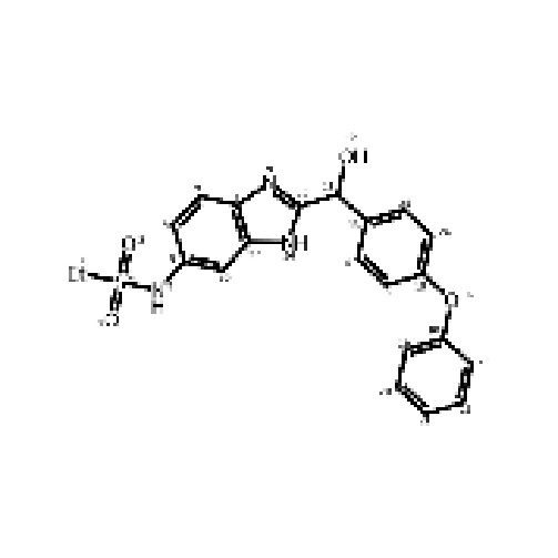 CCS(=O)(=O)Nc1ccc2nc(C(O)c3ccc(Oc4ccccc4)cc3)[nH]c2c1